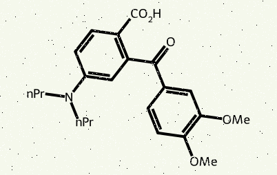 CCCN(CCC)c1ccc(C(=O)O)c(C(=O)c2ccc(OC)c(OC)c2)c1